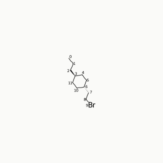 CCC[C@H]1CC[C@H](CCBr)CC1